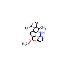 CCOC(=O)c1ccc2c(c1)C(Nc1ncccn1)C(C)C(C1CC1)N2C(C)=O